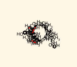 CC[C@H](C)[C@@H]1NC(=O)[C@H](CCC(=O)O)NC(=O)[C@@H](NC(=O)[C@@H](NC(=O)CNC(=O)[C@@H]2CCCN2)[C@@H](C)O)CSSC[C@@H]2NC(=O)[C@H](C)NC(=O)[C@H](C)NC(=O)[C@H](Cc3ccc(O)cc3)NC(=O)[C@H](C)NC(=O)[C@H](CSSC[C@@H](C(=O)O)NC(=O)CNC(=O)[C@H]([C@@H](C)O)NC2=O)NC1=O